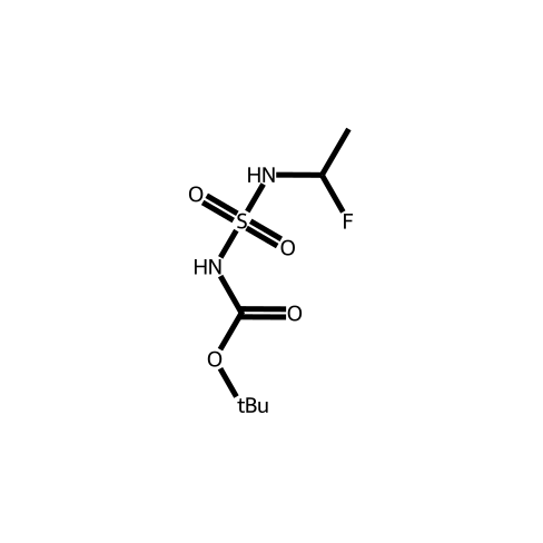 CC(F)NS(=O)(=O)NC(=O)OC(C)(C)C